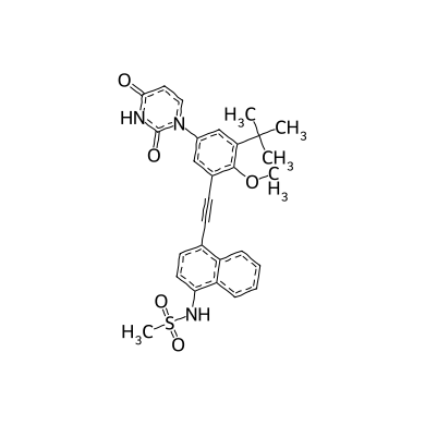 COc1c(C#Cc2ccc(NS(C)(=O)=O)c3ccccc23)cc(-n2ccc(=O)[nH]c2=O)cc1C(C)(C)C